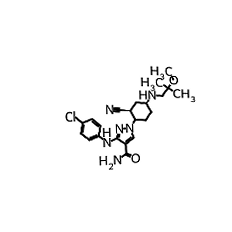 COC(C)(C)CN[C@H]1CCC(n2cc(C(N)=O)c(Nc3ccc(Cl)cc3)n2)[C@@H](C#N)C1